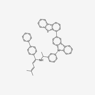 CC(C)=C/C=C(\NC(C)c1cccc(-n2c3ccccc3c3cc(-c4cccc5c4sc4ccccc45)ccc32)c1)c1ccc(-c2ccccc2)cc1